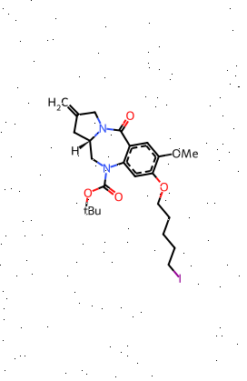 C=C1C[C@H]2CN(C(=O)OC(C)(C)C)c3cc(OCCCCCI)c(OC)cc3C(=O)N2C1